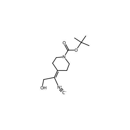 [C-]#[N+]C(CO)=C1CCN(C(=O)OC(C)(C)C)CC1